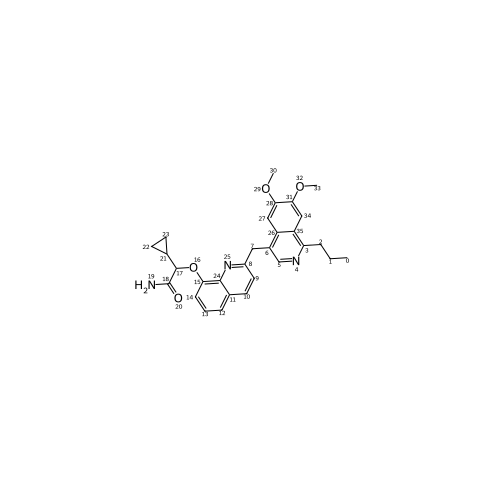 CCCc1ncc(Cc2ccc3cccc(OC(C(N)=O)C4CC4)c3n2)c2cc(OC)c(OC)cc12